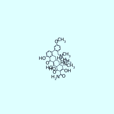 COc1ccc(CN(C)C)c(-c2ccc(O)c3c2C[C@H]2C[C@H]4[C@H](N(C)C)C(O)=C(C(N)=O)C(=O)[C@@]4(O)C(O)=C2C3=O)c1